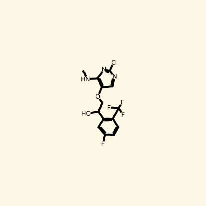 CNc1nc(Cl)ncc1OCC(O)c1cc(F)ccc1C(F)(F)F